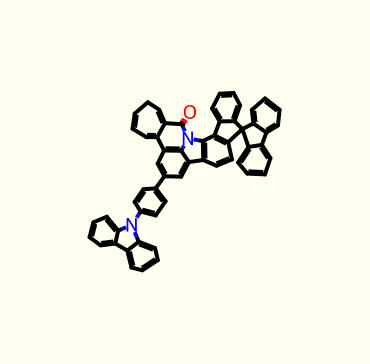 O=c1c2c(c3cc(-c4ccc(-n5c6ccccc6c6ccccc65)cc4)cc4c5ccc6c(c5n1c34)-c1ccccc1C61c3ccccc3-c3ccccc31)=CC=CCC=2